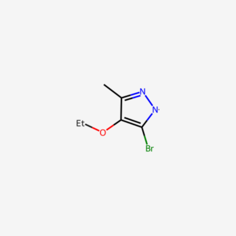 CCOC1=C(Br)[N]N=C1C